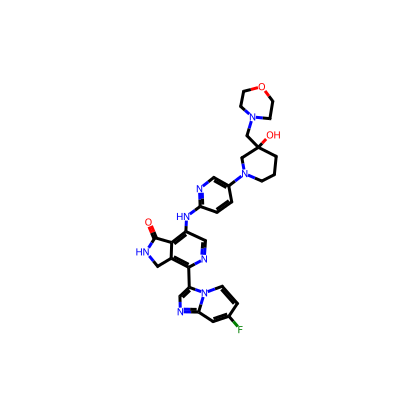 O=C1NCc2c(-c3cnc4cc(F)ccn34)ncc(Nc3ccc(N4CCCC(O)(CN5CCOCC5)C4)cn3)c21